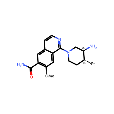 CC[C@@H]1CCN(c2nccc3cc(C(N)=O)c(OC)cc23)C[C@H]1N